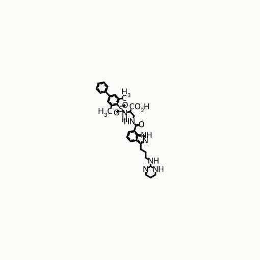 Cc1cc(-c2ccccc2)cc(C)c1S(=O)(=O)NC(CNC(=O)c1cccc2c(CCCNC3N=CCCN3)n[nH]c12)C(=O)O